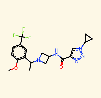 COc1ccc(C(F)(F)F)cc1C(C)N1CC(NC(=O)c2cn(C3CC3)nn2)C1